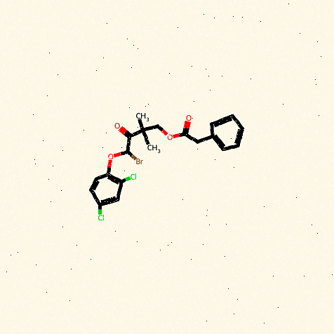 CC(C)(COC(=O)Cc1ccccc1)C(=O)C(Br)Oc1ccc(Cl)cc1Cl